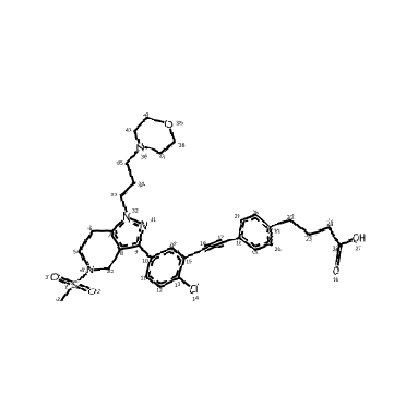 CS(=O)(=O)N1CCc2c(c(-c3ccc(Cl)c(C#Cc4ccc(CCCC(=O)O)cc4)c3)nn2CCCN2CCOCC2)C1